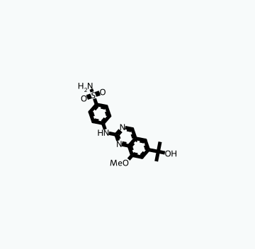 COc1cc(C(C)(C)O)cc2cnc(Nc3ccc(S(N)(=O)=O)cc3)nc12